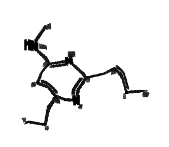 C/C=C/c1nc(CC)cc(NC)n1